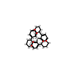 c1ccc([S+](c2ccccc2C2CCCCC2)c2ccccc2C2CCCCC2)c(C2CCCCC2)c1